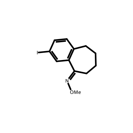 CO/N=C1\CCCCc2ccc(I)cc21